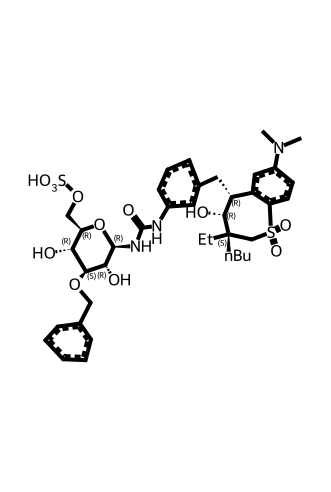 CCCC[C@]1(CC)CS(=O)(=O)c2ccc(N(C)C)cc2[C@@H](Cc2cccc(NC(=O)N[C@@H]3O[C@H](COS(=O)(=O)O)[C@@H](O)[C@H](OCc4ccccc4)[C@H]3O)c2)[C@H]1O